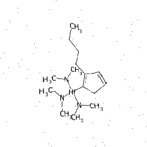 CCCCC1=[C]([Hf]([N](C)C)([N](C)C)[N](C)C)CC=C1